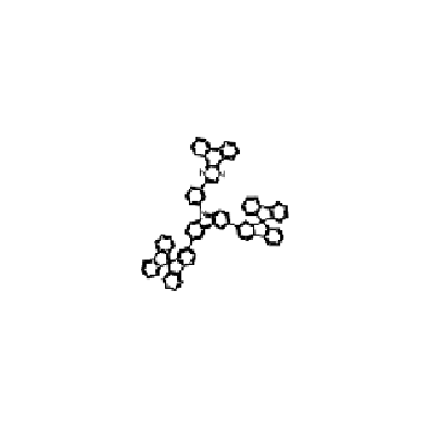 c1cc(-c2cnc3c4ccccc4c4ccccc4c3n2)cc(-n2c3ccc(-c4ccc5c(c4)C4(c6ccccc6-c6ccccc64)c4ccccc4-5)cc3c3cc(-c4ccc5c(c4)C4(c6ccccc6-c6ccccc64)c4ccccc4-5)ccc32)c1